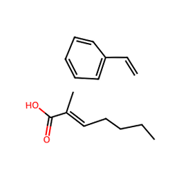 C=Cc1ccccc1.CCCC/C=C(\C)C(=O)O